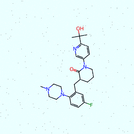 CN1CCN(c2ccc(F)cc2CC2CCCN(c3ccc(C(C)(C)O)nc3)C2=O)CC1